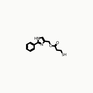 O=C(CCS)OCc1c[nH]c(-c2ccccc2)n1